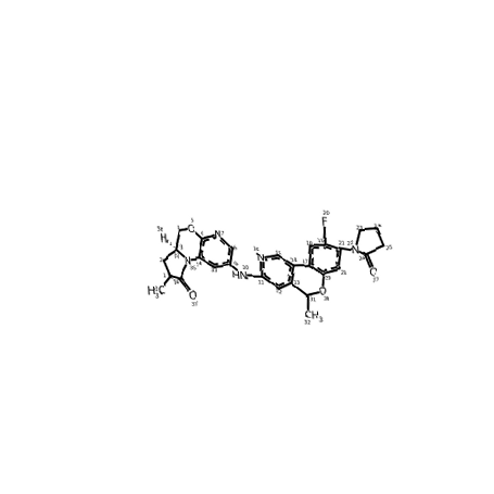 CC1C[C@H]2COc3ncc(Nc4cc5c(cn4)-c4cc(F)c(N6CCCC6=O)cc4OC5C)cc3N2C1=O